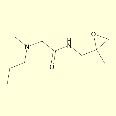 CCCN(C)CC(=O)NCC1(C)CO1